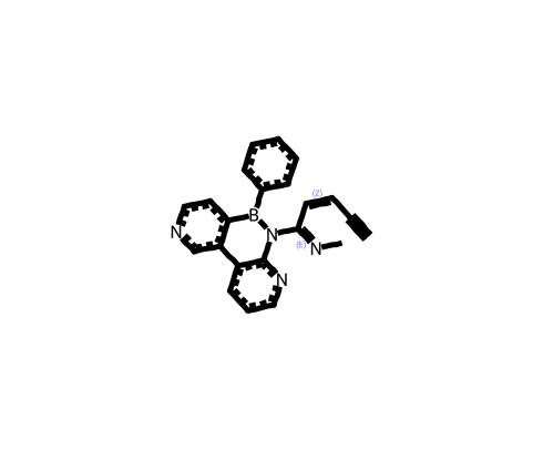 C#C/C=C\C(=N/C)N1B(c2ccccc2)c2ccncc2-c2cccnc21